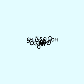 COc1ccc(CN2C(=O)Nc3c(C(=O)N[C@@H]4CCCN(C(=O)O)C4)sc4nccc2c34)cc1